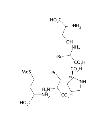 CC(C)CC(N)C(=O)O.CCC(C)C(N)C(=O)O.CSCCC(N)C(=O)O.NC(CO)C(=O)O.O=C(O)[C@@H]1CCCN1